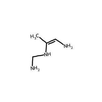 C/C(=C/N)NCN